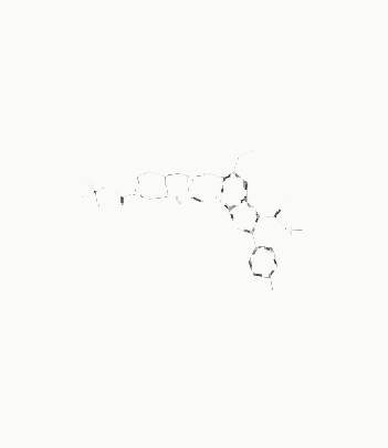 CCc1cc2c(C(=O)NC)c(-c3ccc(F)cc3)oc2nc1CN(CC1CCN(C(=O)OC(C)(C)C)CC1)[SH](=O)=O